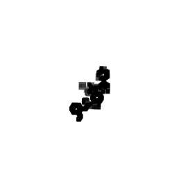 CCc1ccccc1CC(=O)Nc1ccc(-n2cc(-c3ccncn3)cn2)c(S(N)(=O)=O)c1